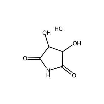 Cl.O=C1NC(=O)C(O)C1O